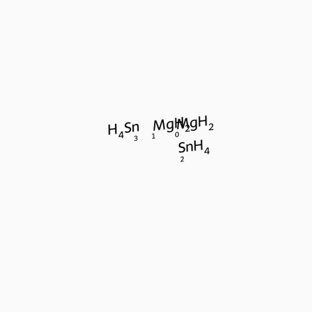 [MgH2].[MgH2].[SnH4].[SnH4]